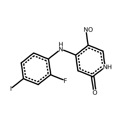 O=Nc1c[nH]c(=O)cc1Nc1ccc(I)cc1F